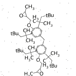 CC1OC1COc1c(C(C)(C)CC(C)(C)C)cc(Cc2cc(C(C)(C)CC(C)(C)C)c(OCC3OC3C)c(C(C)(C)CC(C)(C)C)c2)cc1C(C)(C)CC(C)(C)C